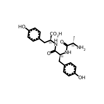 C[C@H](N)C(=O)N[C@@H](Cc1ccc(O)cc1)C(=O)N[C@@H](Cc1ccc(O)cc1)C(=O)O